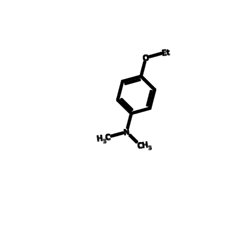 CCOc1ccc(N(C)C)cc1